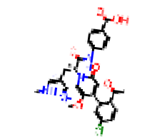 CN/C=C(\C=N)C[C@@H](C(=O)Nc1ccc(C(=O)O)cc1)n1cc(OC)c(-c2cc(Cl)ccc2C(C)=O)cc1=O